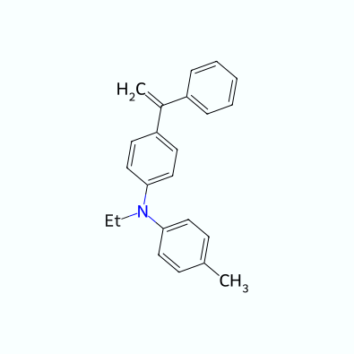 C=C(c1ccccc1)c1ccc(N(CC)c2ccc(C)cc2)cc1